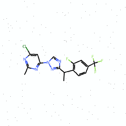 Cc1nc(Cl)cc(-n2cnc(C(C)c3ccc(C(F)(F)F)cc3F)n2)n1